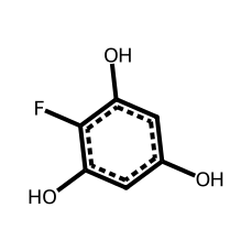 Oc1cc(O)c(F)c(O)c1